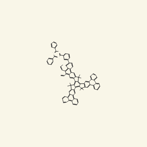 C=Cc1c(/C=C\C)c2cc(-c3cccc(-c4nc(-c5ccccc5)nc(-c5ccccc5)n4)c3)ccc2c2cc3c(cc12)-c1c(c2c(c4c1C(C)(C)c1cc5c6ccccc6c6ccccc6c5cc1-4)C(C)(C)c1cc4c5ccccc5c5ccccc5c4cc1-2)C3(C)C